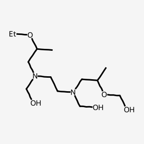 CCOC(C)CN(CO)CCN(CO)CC(C)OCO